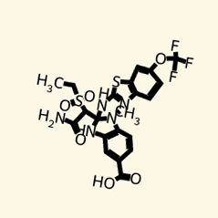 CCS(=O)(=O)C(C(N)=O)C1(Nc2nc3ccc(OC(F)(F)F)cc3s2)Nc2cc(C(=O)O)ccc2N1C